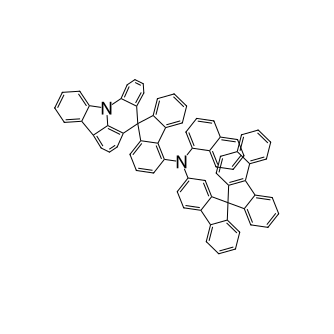 c1ccc2c(c1)-c1ccc(N(c3cccc4c3-c3ccccc3C43c4ccccc4-n4c5ccccc5c5cccc3c54)c3cccc4ccccc34)cc1C21c2ccccc2-c2c1ccc1ccccc21